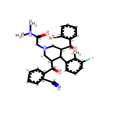 Cc1c(F)cccc1C1C(C(=O)c2ccccc2Br)CN(CC(=O)N(C)C)CC1C(=O)c1ccccc1C#N